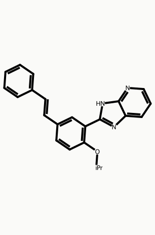 CC(C)Oc1ccc(C=Cc2ccccc2)cc1-c1nc2cccnc2[nH]1